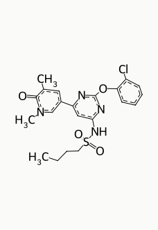 CCCCS(=O)(=O)Nc1cc(-c2cc(C)c(=O)n(C)c2)nc(Oc2ccccc2Cl)n1